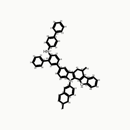 CC1C=Cc2cc(-n3c4c(c5cc(-c6ccc(Nc7ccc(-c8ccccc8)cc7)c(-c7ccccc7)c6)ccc53)CC(C)c3c-4oc4ccccc34)ccc2C1